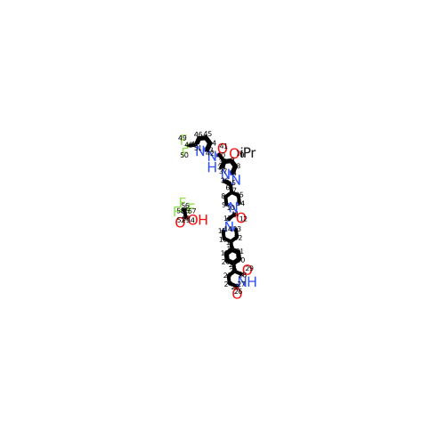 CC(C)Oc1cc2nc(C3CCN(C(=O)CN4CCC(c5ccc(C6CCC(=O)NC6=O)cc5)CC4)CC3)cn2cc1C(=O)Nc1cccc(C(F)F)n1.O=C(O)C(F)(F)F